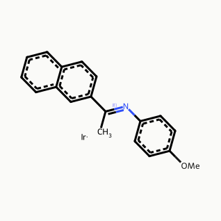 COc1ccc(/N=C(\C)c2ccc3ccccc3c2)cc1.[Ir]